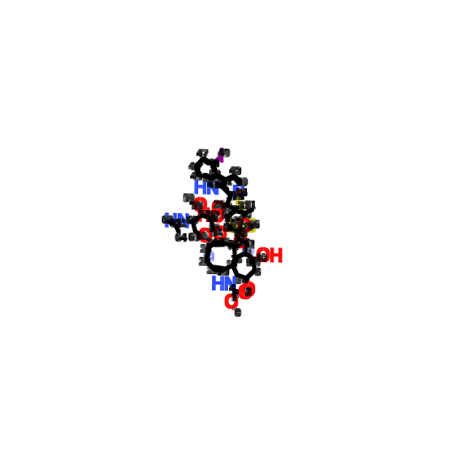 COC(=O)NC1C(=O)C[C@H](O)/C(=C/CS(C)(=S)=S)C2=C1C#C/C=C\C#C[C@@H]2OC1OC(C)C(SC)(C(=O)c2nccc3c2[nH]c2cccc(I)c23)C(O)C1OC1CC(OC)C(NC(C)C)CO1